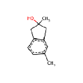 Cc1ccc2c(c1)CC(C)(O)C2